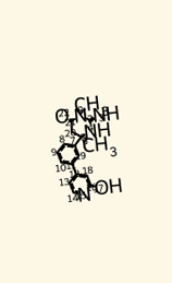 CN1C(=N)N[C@](C)(c2cccc(-c3ccnc(O)c3)c2)CC1=O